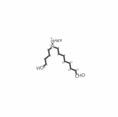 CCCCCCN(CCCCO)CCCCCCCC=O